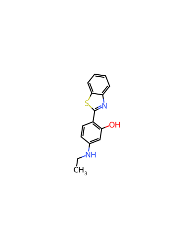 CCNc1ccc(-c2nc3ccccc3s2)c(O)c1